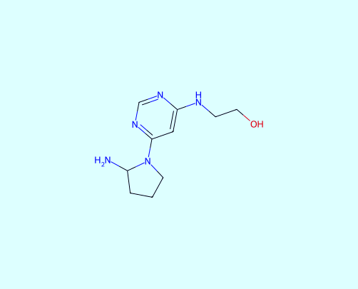 NC1CCCN1c1cc(NCCO)ncn1